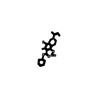 C/C=C(/C)N1CCc2c(c(F)c(C)c(C(=O)Oc3ccccc3)c2OCCCC)C1